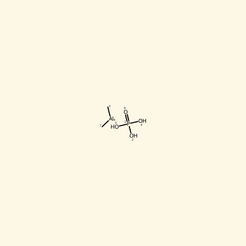 O=P(O)(O)O.[CH3][Al][CH3]